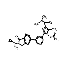 Cc1c(C(=O)N(C)C)nc(-c2cc(-c3ccc4c(c3)CN([C@@H](C)C3CC3)C4=O)ccn2)n1OC(=O)C(F)(F)F